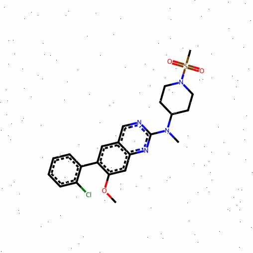 COc1cc2nc(N(C)C3CCN(S(C)(=O)=O)CC3)ncc2cc1-c1ccccc1Cl